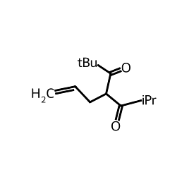 C=CCC(C(=O)C(C)C)C(=O)C(C)(C)C